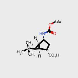 CC(C)(C)OC(=O)N[C@@H]1C[C@H](C(=O)O)[C@H]2C([Si](C)(C)C)[C@H]21